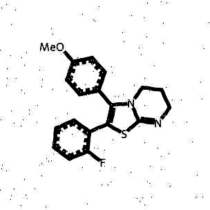 COc1ccc(C2=C(c3ccccc3F)SC3=NCCCN32)cc1